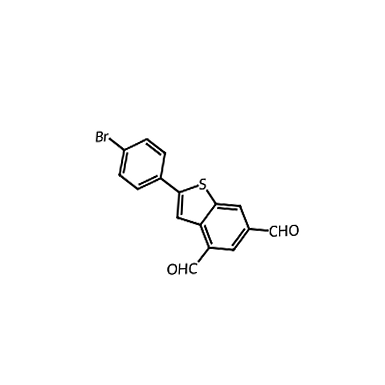 O=Cc1cc(C=O)c2cc(-c3ccc(Br)cc3)sc2c1